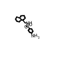 Nc1ccc(S(=O)(=O)NCc2cccc3ccccc23)cc1